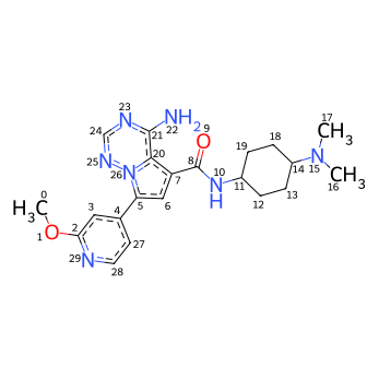 COc1cc(-c2cc(C(=O)NC3CCC(N(C)C)CC3)c3c(N)ncnn23)ccn1